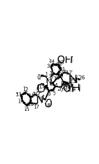 CCn1c2c(cc(C(=O)N3Cc4ccccc4C3)c1=O)C[C@@]1(O)[C@@H](C)N(C)CC[C@]1(c1cc(O)ccc1C)C2